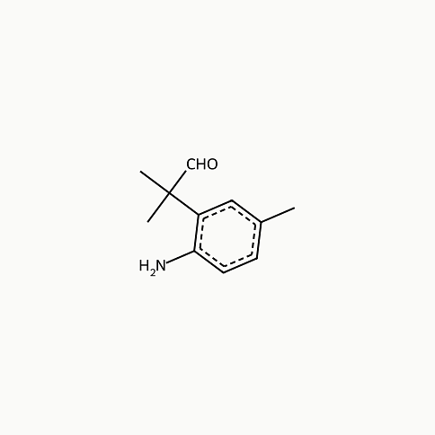 Cc1ccc(N)c(C(C)(C)C=O)c1